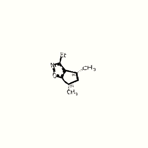 CCc1noc2c1[C@H](C)C[C@@H]2C